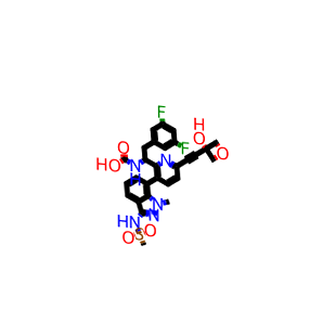 Cn1nc(NS(C)(=O)=O)c2cccc(-c3ccc(C#CC4(O)COC4)nc3C(Cc3cc(F)cc(F)c3)NC(=O)O)c21